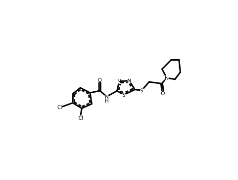 O=C(Nc1nnc(SCC(=O)N2CCCCC2)s1)c1ccc(Cl)c(Cl)c1